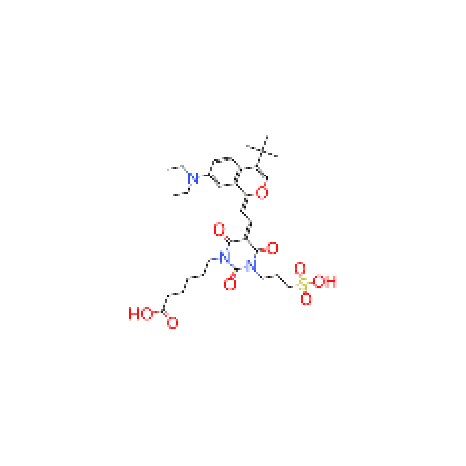 CCN(CC)c1ccc2c(c1)C(=CC=C1C(=O)N(CCCCCC(=O)O)C(=O)N(CCCS(=O)(=O)O)C1=O)OC=C2C(C)(C)C